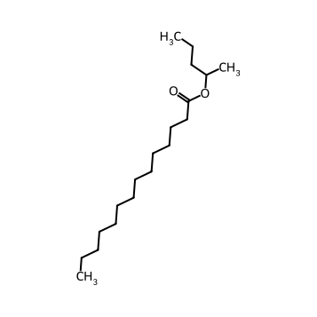 CCCCCCCCCCCCCC(=O)OC(C)CCC